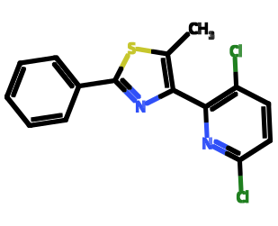 Cc1sc(-c2ccccc2)nc1-c1nc(Cl)ccc1Cl